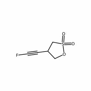 O=S1(=O)CC(C#CF)CO1